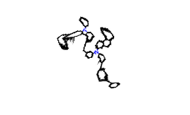 C1=CC2=Cc3c(c4c(Cc5cccc(N(c6ccc(-c7ccc(-c8ccccc8)cc7)cc6)c6ccc7c(ccc8ccccc87)c6)c5)cccc4n3-c3ccccc3)CC2C=C1